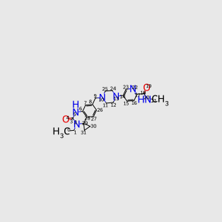 CCN1C(=O)Nc2cc(CN3CCN(c4ccc(C(=O)NC)nc4)CC3)ccc2C12CC2